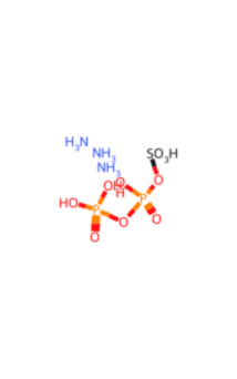 N.N.N.O=P(O)(O)OP(=O)(O)OS(=O)(=O)O